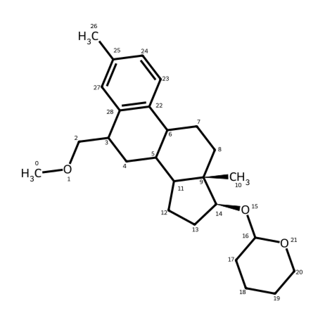 COCC1CC2C(CC[C@@]3(C)C2CC[C@@H]3OC2CCCCO2)c2ccc(C)cc21